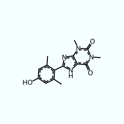 Cc1cc(O)cc(C)c1-c1nc2c([nH]1)c(=O)n(C)c(=O)n2C